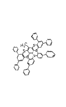 Cc1c2c3c4c5c1Sc1c(cc(-c6ccccc6)cc1-c1ccccc1)B5c1cc(-c5ccccc5)ccc1N4c1ccc(-c4ccccc4)cc1B3c1cc(-c3ccccc3)cc(-c3ccccc3)c1S2